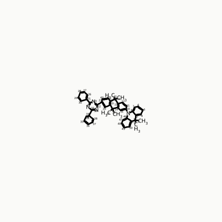 CC1(C)c2ccccc2N(c2ccc3c(c2)C(C)(C)c2cc(-c4nc(-c5ccccc5)nc(-c5ccccc5)n4)ccc2C3(C)C)c2ccccc21